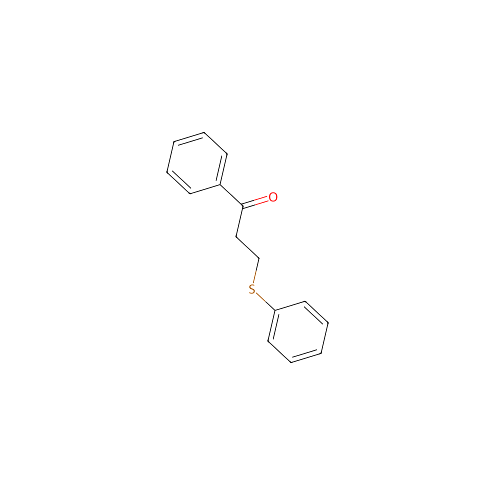 O=C(CCSc1ccccc1)c1ccccc1